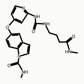 CNC(=O)CCCNC(=O)Nc1cc(Oc2ccc3c(ccn3C(=O)NC)c2)ccn1